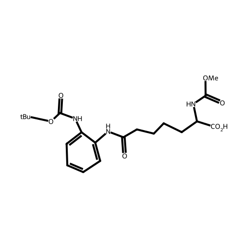 COC(=O)NC(CCCCC(=O)Nc1ccccc1NC(=O)OC(C)(C)C)C(=O)O